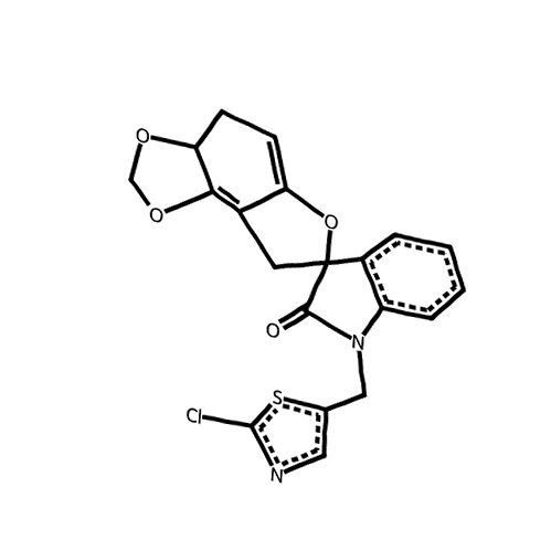 O=C1N(Cc2cnc(Cl)s2)c2ccccc2C12CC1=C3OCOC3CC=C1O2